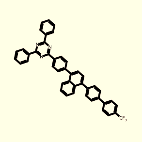 FC(F)(F)c1ccc(-c2ccc(-c3ccc(-c4ccc(-c5nc(-c6ccccc6)nc(-c6ccccc6)n5)cc4)c4ccccc34)cc2)cc1